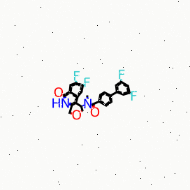 CN(C(=O)c1ccc(-c2cc(F)cc(F)c2)cc1)[C@H]1COCc2[nH]c(=O)c3cc(F)c(F)cc3c21